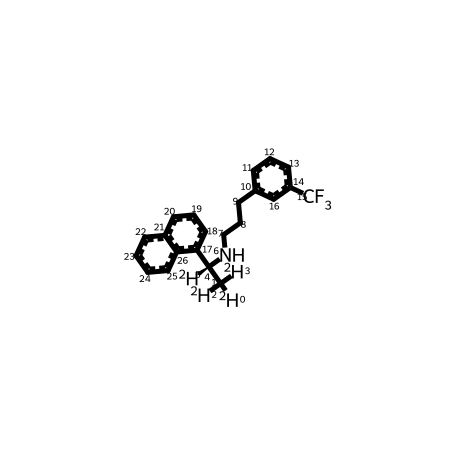 [2H]C([2H])([2H])[C@@]([2H])(NCCCc1cccc(C(F)(F)F)c1)c1cccc2ccccc12